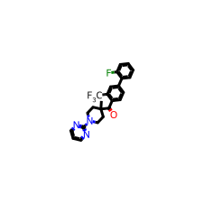 CC1(C(=O)c2ccc(-c3ccccc3F)cc2C(F)(F)F)CCN(c2ncccn2)CC1